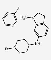 CCN1CCC(Nc2ccc3c(c2)N(C)CC3)CC1.Fc1ccccc1